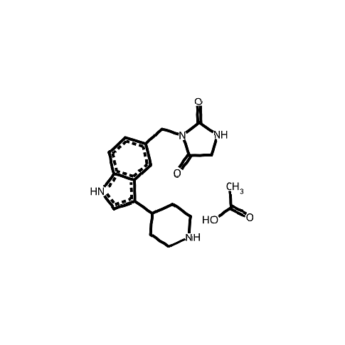 CC(=O)O.O=C1CNC(=O)N1Cc1ccc2[nH]cc(C3CCNCC3)c2c1